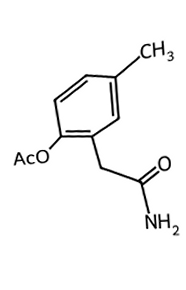 CC(=O)Oc1ccc(C)cc1CC(N)=O